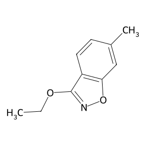 CCOc1noc2cc(C)ccc12